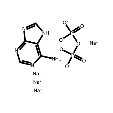 Nc1ncnc2nc[nH]c12.O=P([O-])([O-])OP(=O)([O-])[O-].[Na+].[Na+].[Na+].[Na+]